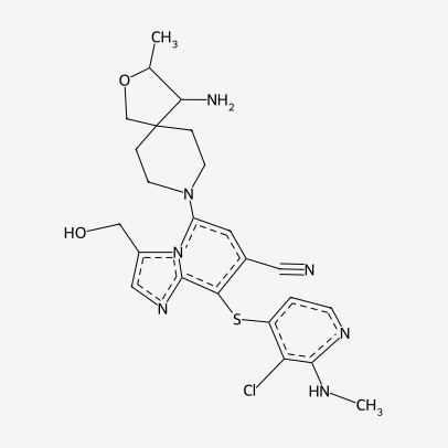 CNc1nccc(Sc2c(C#N)cc(N3CCC4(CC3)COC(C)C4N)n3c(CO)cnc23)c1Cl